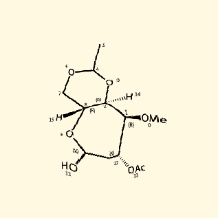 CO[C@@H]1[C@@H]2OC(C)OC[C@H]2OC(O)[C@H]1OC(C)=O